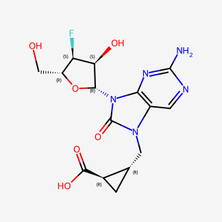 Nc1ncc2c(n1)n([C@@H]1O[C@H](CO)[C@@H](F)[C@H]1O)c(=O)n2C[C@@H]1C[C@H]1C(=O)O